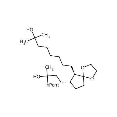 CCCCCC(C)(O)CC[C@H]1CCC2(OCCO2)[C@@H]1CCCCCCC(C)(C)O